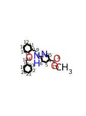 COC(=O)c1ccc(NCc2ccccc2OCc2ccccc2)nc1